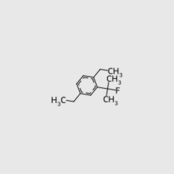 CCc1ccc(CC)c(C(C)(C)F)c1